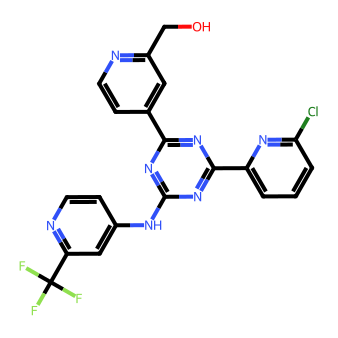 OCc1cc(-c2nc(Nc3ccnc(C(F)(F)F)c3)nc(-c3cccc(Cl)n3)n2)ccn1